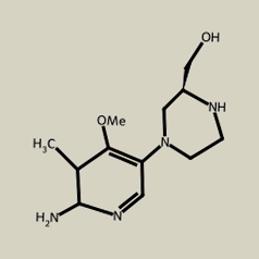 COC1=C(N2CCN[C@H](CO)C2)C=NC(N)C1C